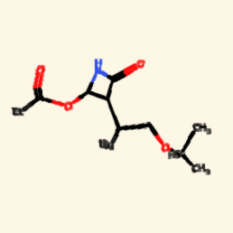 CCC(=O)OC1NC(=O)C1C(CO[SiH](C)C)C(C)(C)C